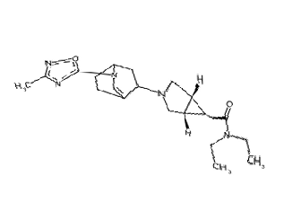 CCN(CC)C(=O)[C@H]1[C@@H]2CN(C3CC4CCC3=CN4c3nc(C)no3)C[C@@H]21